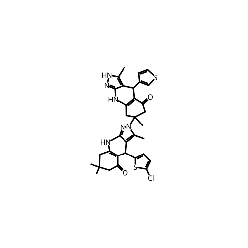 Cc1[nH]nc2c1C(c1ccsc1)C1=C(CC(C)(n3nc4c(c3C)C(c3ccc(Cl)s3)C3=C(CC(C)(C)CC3=O)N4)CC1=O)N2